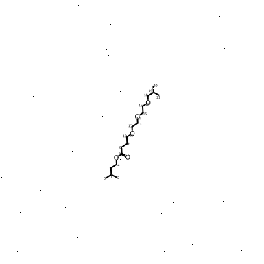 CC(C)CCOC(=O)CCCOCCOCCOCC(C)C